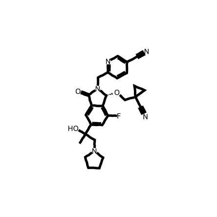 CC(O)(CN1CCCC1)c1cc(F)c2c(c1)C(=O)N(Cc1ccc(C#N)cn1)[C@@H]2OCC1(C#N)CC1